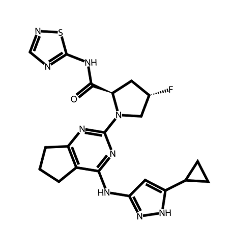 O=C(Nc1ncns1)[C@H]1C[C@H](F)CN1c1nc2c(c(Nc3cc(C4CC4)[nH]n3)n1)CCC2